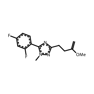 C=C(CCc1nc(-c2ccc(F)cc2F)n(C)n1)OC